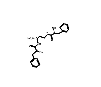 O=C(O)[C@H](CCNC(=O)[C@@H](O)Cc1ccccc1)NC(=O)[C@@H](O)Cc1ccccc1